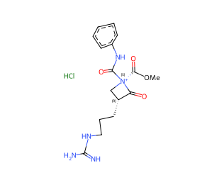 COC(=O)[N@@+]1(C(=O)Nc2ccccc2)C[C@@H](CCCNC(=N)N)C1=O.Cl